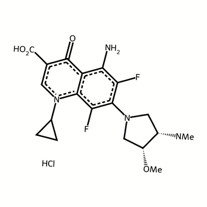 CN[C@H]1CN(c2c(F)c(N)c3c(=O)c(C(=O)O)cn(C4CC4)c3c2F)C[C@H]1OC.Cl